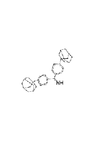 N=C(c1ccc(C23CC4CC(CC(C4)C2)C3)cc1)c1ccc(C23CC4CC(CC(C4)C2)C3)cc1